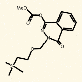 COC(=O)Oc1nn(COCC[Si](C)(C)C)c(=O)c2ccccc12